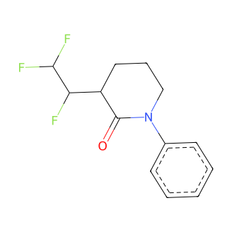 O=C1C(C(F)C(F)F)CCCN1c1ccccc1